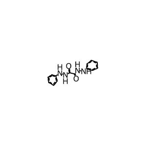 O=C(NNc1ccccc1)C(=O)NNc1ccccc1